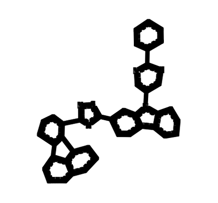 c1ccc(-c2ncc(-n3c4ccccc4c4ccc(-c5nc(-c6cccc7c6-c6cccc8cccc-7c68)ns5)cc43)cn2)cc1